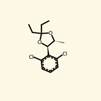 [CH2][C@H]1OC(CC)(CC)O[C@@H]1c1c(Cl)cccc1Cl